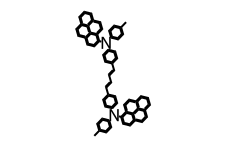 Cc1ccc(N(c2ccc(C=CC=Cc3ccc(N(c4ccc(C)cc4)c4ccc5ccc6cccc7ccc4c5c67)cc3)cc2)c2ccc3ccc4cccc5ccc2c3c45)cc1